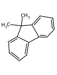 CC1(C)c2[c]c[c]cc2-c2ccccc21